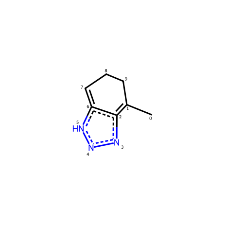 CC1=c2nn[nH]c2=CCC1